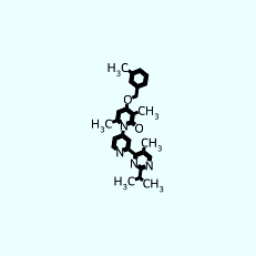 Cc1cccc(COc2cc(C)n(-c3ccnc(-c4nc(C(C)C)ncc4C)c3)c(=O)c2C)c1